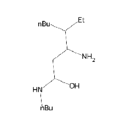 CCCCNC(O)CC(N)C(CC)CCCC